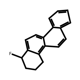 FC1CCCc2c1ccc1c2ccc2ccccc21